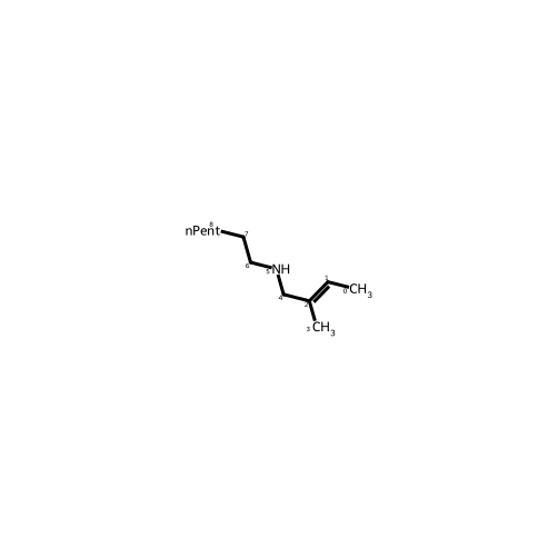 CC=C(C)CNCCCCCCC